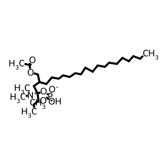 CCCCCCCCCCCCCCCCCCC(COC(C)=O)CC(CCC)(OP(=O)([O-])O)[N+](C)(C)C